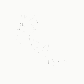 O=C(O)c1cccc(C2CCC(O)(c3ccc(OCc4c(-c5c(Cl)cccc5Cl)noc4C4CC4)cc3Cl)C2)c1